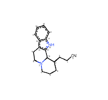 N#CCCC1CCCN2CCc3c([nH]c4ccccc34)C12